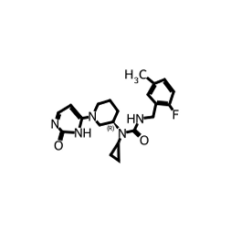 Cc1ccc(F)c(CNC(=O)N(C2CC2)[C@@H]2CCCN(c3ccnc(=O)[nH]3)C2)c1